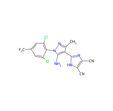 Cc1nn(-c2c(Cl)cc(C(F)(F)F)cc2Cl)c(N)c1-c1nc(C#N)c(C#N)[nH]1